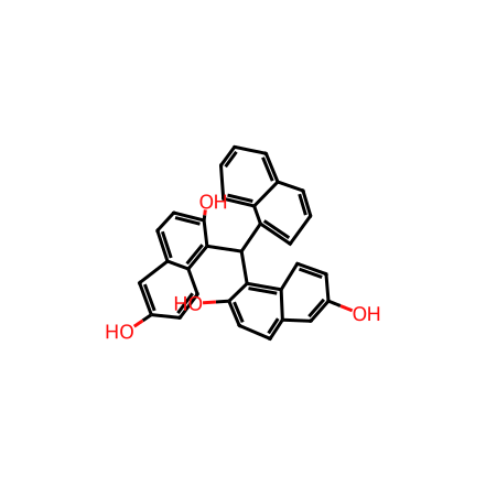 Oc1ccc2c(C(c3cccc4ccccc34)c3c(O)ccc4cc(O)ccc34)c(O)ccc2c1